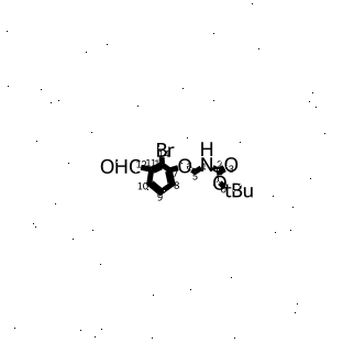 CC(C)(C)OC(=O)NCOc1cccc(C=O)c1Br